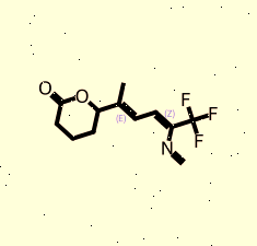 C=N/C(=C\C=C(/C)C1CCCC(=O)O1)C(F)(F)F